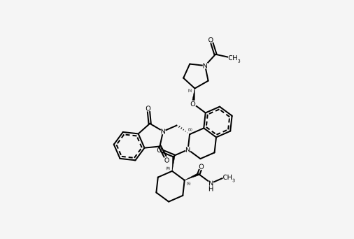 CNC(=O)[C@H]1CCCC[C@H]1C(=O)N1CCc2cccc(O[C@H]3CCN(C(C)=O)C3)c2[C@H]1CN1C(=O)c2ccccc2C1=O